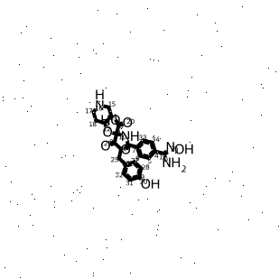 NC(=NO)c1ccc(C(=O)NC(OC2CCNCC2)(C(=O)O)C(=O)CCc2ccc(O)cc2)cc1